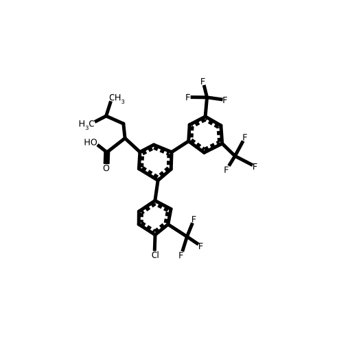 CC(C)CC(C(=O)O)c1cc(-c2cc(C(F)(F)F)cc(C(F)(F)F)c2)cc(-c2ccc(Cl)c(C(F)(F)F)c2)c1